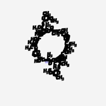 COC1C[C@@H]2CC=C[C@@H](C[C@@H](O)C/C=C(\C)C(=O)O[C@H]([C@H](C)[C@@H](O)[C@H](C)CC[C@H]3C[C@H](OC)C[C@H](C)O3)[C@H](C)[C@H](O)C[C@H](O)[C@H](C)[C@@H](OC)C[C@@H]3CC=C[C@@H](C[C@@H](O)C/C=C(\C)C(=O)O[C@H]([C@@H](C)[C@@H](O)[C@@H](C)CC[C@H]4C[C@H](OC)C[C@H](C)O4)[C@@H](C)[C@H](O)C[C@H](O)[C@@H]1C)O3)O2